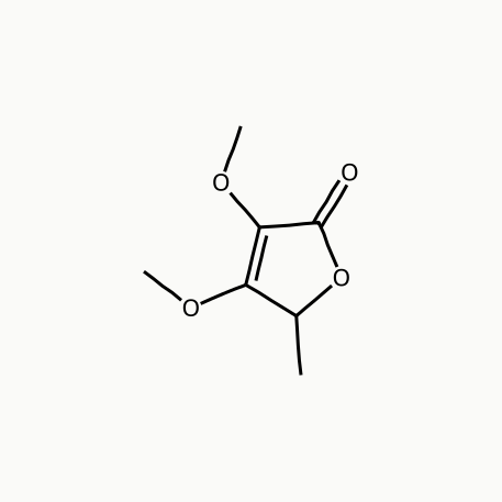 COC1=C(OC)C(C)OC1=O